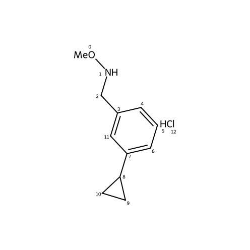 CONCc1cccc(C2CC2)c1.Cl